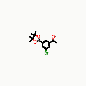 CC([O])c1cc(Br)cc(B2OC(C)(C)C(C)(C)O2)c1